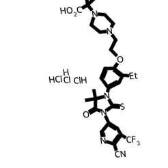 CCc1cc(N2C(=S)N(c3cnc(C#N)c(C(F)(F)F)c3)C(=O)C2(C)C)ccc1OCCN1CCN(C2(C(=O)O)CC2)CC1.Cl.Cl.Cl